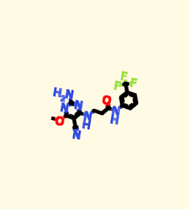 COc1nc(N)nc(NCCC(=O)Nc2cccc(C(F)(F)F)c2)c1C#N